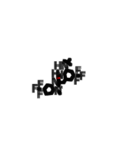 CN(C)[C@H]1CC[C@H](C(F)(F)F)C[C@@H]1NC(C)(C)CC1C[C@@H](C(F)(F)F)C[C@H](NC(C)(C)C)[C@H]1N(C)C